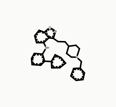 c1ccc(CN2CCC(CCc3noc4cccc(Nc5ccccc5-c5ccccc5)c34)CC2)cc1